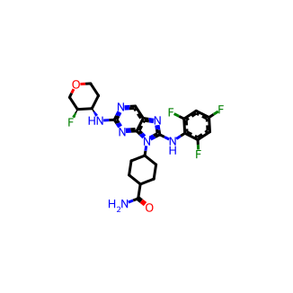 NC(=O)C1CCC(n2c(Nc3c(F)cc(F)cc3F)nc3cnc(N[C@@H]4CCOC[C@@H]4F)nc32)CC1